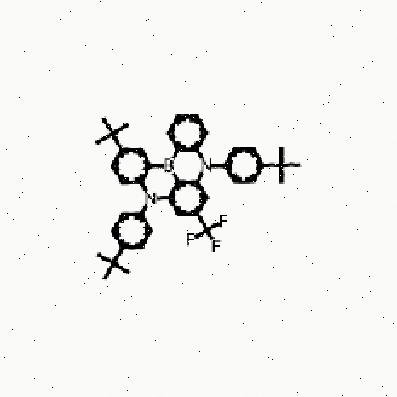 CC(C)(C)c1ccc(N2c3ccccc3B3c4cc(C(C)(C)C)ccc4N(c4ccc(C(C)(C)C)cc4)c4cc(C(F)(F)F)cc2c43)cc1